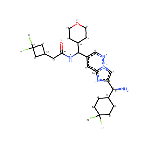 N[C@H](c1cn2ncc(C(NC(=O)CC3CC(F)(F)C3)C3CCOCC3)cc2n1)C1CCC(F)(F)CC1